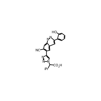 CC(C)C(C(=O)O)n1cc(-c2cc3cc(-c4ccccc4O)nnc3cc2C#N)nn1